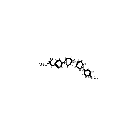 COC(=O)Cc1ccc(N2CCC(NC3CCN(c4ccc([N+](=O)[O-])cc4)CC3)CC2)cc1